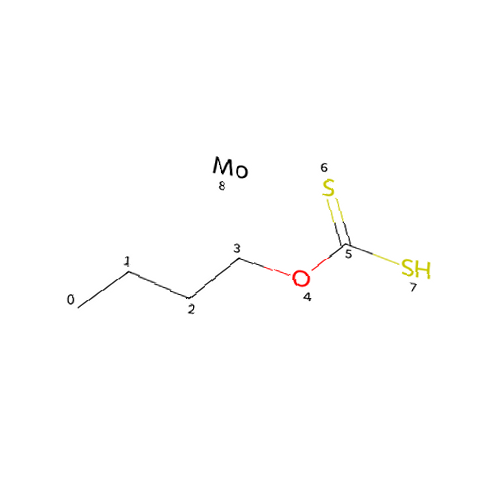 CCCCOC(=S)S.[Mo]